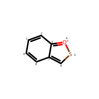 c1ccc2[o+]scc2c1